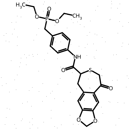 CCOP(=O)(Cc1ccc(NC(=O)C2Cc3cc4c(cc3C(=O)CS2)OCO4)cc1)OCC